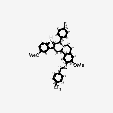 COc1ccc2[nH]c3c(c2c1)CC1c2cc(OCc4ccc(C(F)(F)F)cc4)c(OC)cc2CCN1C3c1ccc(F)cc1